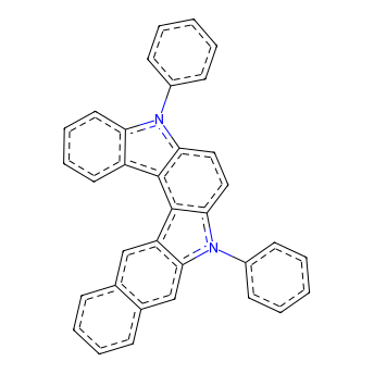 c1ccc(-n2c3ccccc3c3c4c5cc6ccccc6cc5n(-c5ccccc5)c4ccc32)cc1